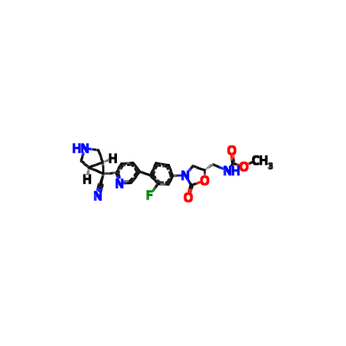 COC(=O)NC[C@H]1CN(c2ccc(-c3ccc([C@@]4(C#N)[C@@H]5CNC[C@@H]54)nc3)c(F)c2)C(=O)O1